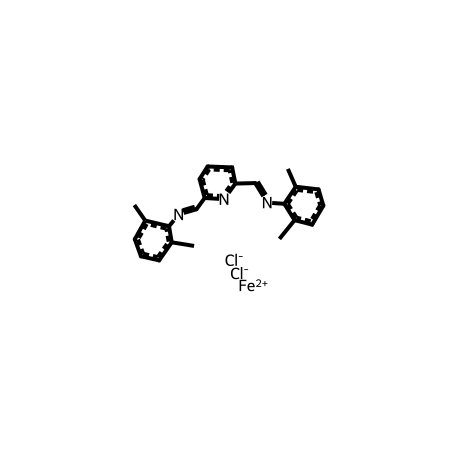 Cc1cccc(C)c1N=Cc1cccc(C=Nc2c(C)cccc2C)n1.[Cl-].[Cl-].[Fe+2]